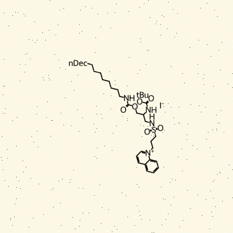 CCCCCCCCCCCCCCCCCCNC(=O)OCC(CNS(=O)(=O)CCC[n+]1cccc2ccccc21)NC(=O)OC(C)(C)C.[I-]